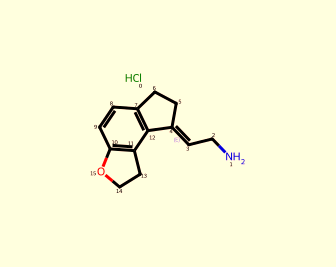 Cl.NC/C=C1\CCc2ccc3c(c21)CCO3